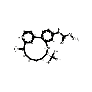 COC(=O)Nc1ccc2c(c1)N[C@H](C(F)(F)F)CCCCC(N)c1cc-2ccn1